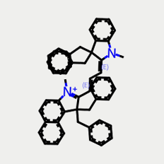 CN1/C(=C/C=C/C2=[N+](C)c3ccc4ccccc4c3C2(Cc2ccccc2)Cc2ccccc2)C(Cc2ccccc2)(Cc2ccccc2)c2ccccc21